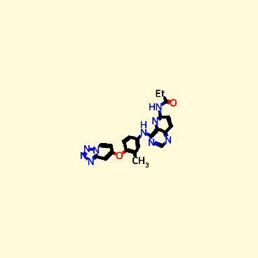 CCC(=O)Nc1ccc2ncnc(Nc3ccc(Oc4ccn5nnnc5c4)c(C)c3)c2n1